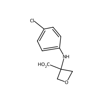 O=C(O)C1(Nc2ccc(Cl)cc2)COC1